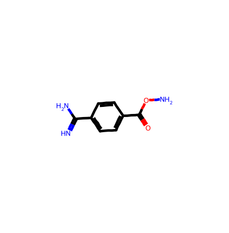 N=C(N)c1ccc(C(=O)ON)cc1